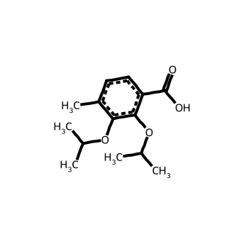 Cc1ccc(C(=O)O)c(OC(C)C)c1OC(C)C